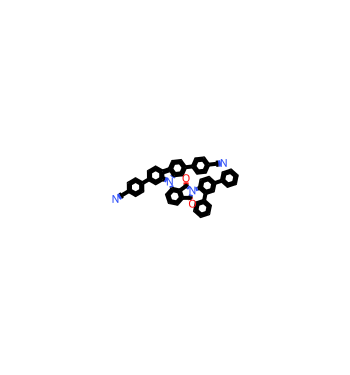 N#Cc1ccc(-c2ccc3c4ccc(-c5ccc(C#N)cc5)cc4n(-c4cccc5c4C(=O)N(c4ccc(-c6ccccc6)cc4-c4ccccc4)C5=O)c3c2)cc1